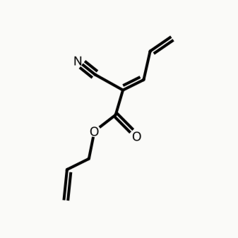 C=C/C=C(\C#N)C(=O)OCC=C